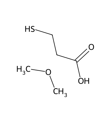 COC.O=C(O)CCS